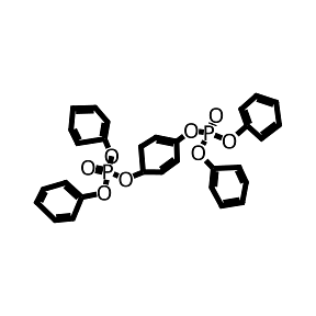 O=P(OC1=CCC(OP(=O)(Oc2ccccc2)Oc2ccccc2)C=C1)(Oc1ccccc1)Oc1ccccc1